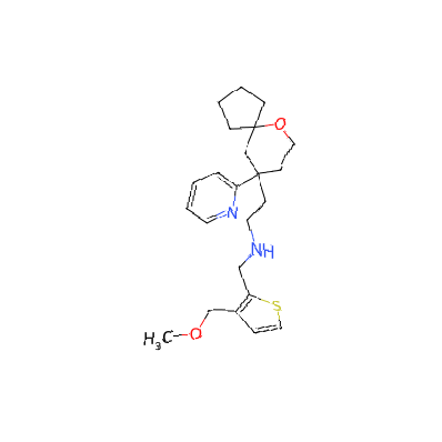 COCc1ccsc1CNCCC1(c2ccccn2)CCOC2(CCCC2)C1